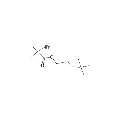 CC(C)C(C)(C)C(=O)OCCC[N+](C)(C)C